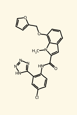 Cn1c(C(=O)Nc2ccc(Cl)cc2-c2nnn[nH]2)cc2cccc(OCc3ccco3)c21